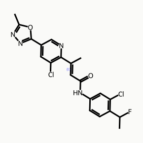 C/C(=C\C(=O)Nc1ccc(C(C)F)c(Cl)c1)c1ncc(-c2nnc(C)o2)cc1Cl